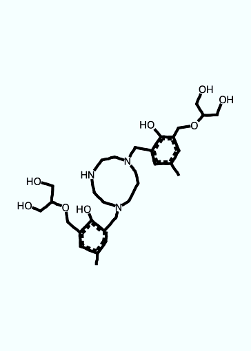 Cc1cc(COC(CO)CO)c(O)c(CN2CCCN(Cc3cc(C)cc(COC(CO)CO)c3O)CCNCC2)c1